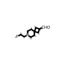 O=CC1CC2(CCN(CCF)CC2)C1